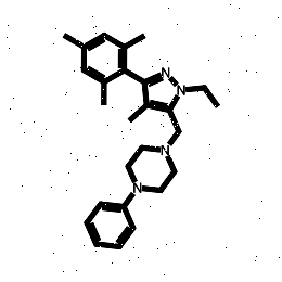 CCn1nc(-c2c(C)cc(C)cc2C)c(C)c1CN1CCN(c2ccccc2)CC1